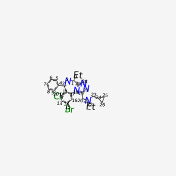 CCC1N=C(c2ccccc2Cl)c2ccc(Br)cc2-n2c(CN(CC)CC3CC3)nnc21